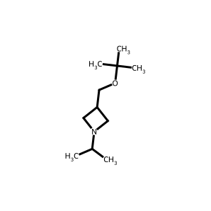 CC(C)N1CC(COC(C)(C)C)C1